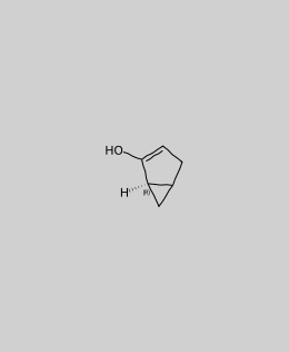 OC1=CCC2C[C@@H]12